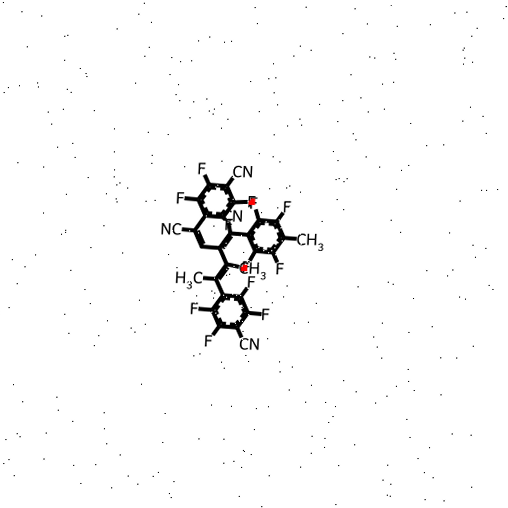 CC(=C(C)c1c(F)c(F)c(C#N)c(F)c1F)C(/C=C(/C#N)c1c(F)c(F)c(C#N)c(F)c1F)=C(/C#N)c1c(F)c(F)c(C)c(F)c1F